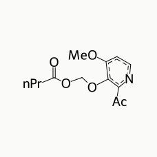 CCCC(=O)OCOc1c(OC)ccnc1C(C)=O